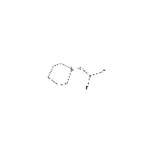 FC(F)ON1CCCCC1